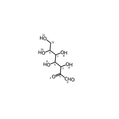 O=CC(=O)C(O)C(O)C(O)C(O)CO